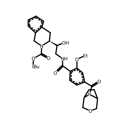 CCOc1cc(C(=O)N2C3CCC2COC3)ccc1C(=O)NCC(O)[C@@H]1Cc2ccccc2CN1C(=O)OC(C)(C)C